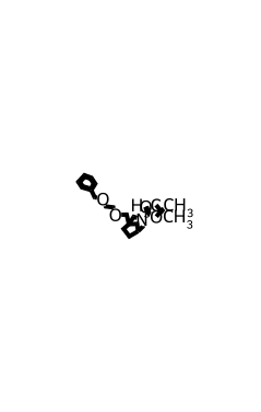 CC(C)(C)OC(=O)N1CC2CCC(COCCOCc3ccccc3)(C2)C1